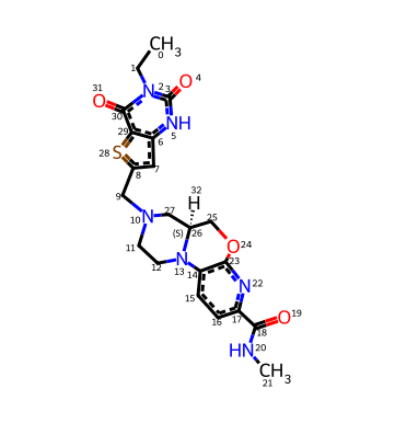 CCn1c(=O)[nH]c2cc(CN3CCN4c5ccc(C(=O)NC)nc5OC[C@@H]4C3)sc2c1=O